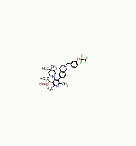 Cc1nc(C)c(C(OC(C)(C)C)C(=O)O)c(N2CCC(C)(C)CC2)c1-c1ccc2c(c1)CCN(Cc1cccc(OC(F)(F)C(F)F)c1)C2